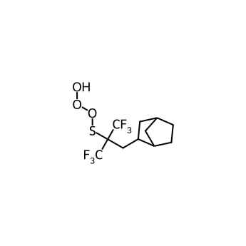 OOOSC(CC1CC2CCC1C2)(C(F)(F)F)C(F)(F)F